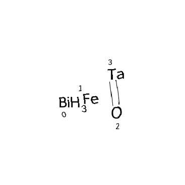 [BiH3].[Fe].[O]=[Ta]